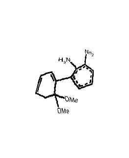 COC1(OC)CC=CC=C1c1cccc(N)c1N